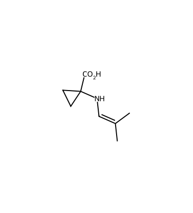 CC(C)=CNC1(C(=O)O)CC1